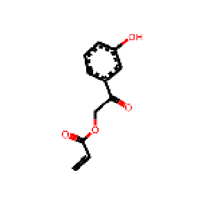 C=CC(=O)OCC(=O)c1cccc(O)c1